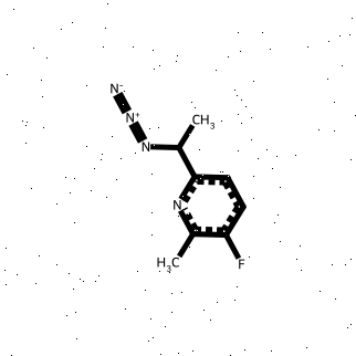 Cc1nc(C(C)N=[N+]=[N-])ccc1F